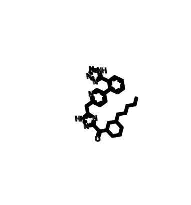 CCCCCC1CCCC(C(=O)c2n[nH]c(Cc3ccc(-c4ccccc4-c4nnn[nH]4)cn3)n2)C1